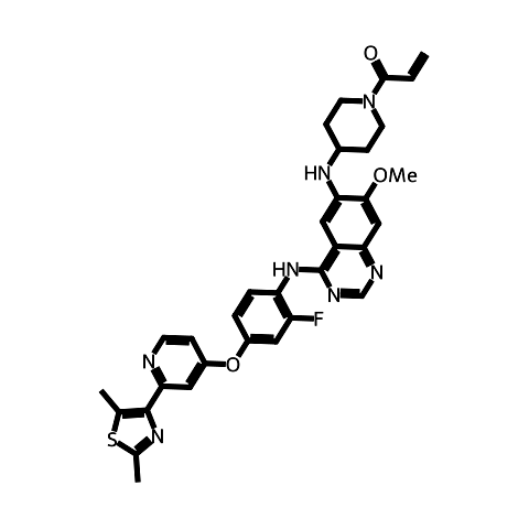 C=CC(=O)N1CCC(Nc2cc3c(Nc4ccc(Oc5ccnc(-c6nc(C)sc6C)c5)cc4F)ncnc3cc2OC)CC1